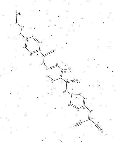 CCCCc1ccc(C(=O)Oc2ccc(C(=O)Oc3ccc(C=C(C#N)C#N)cc3)c(Cl)c2)cc1